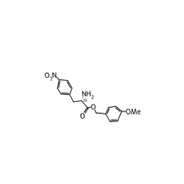 COc1ccc(COC(=O)[C@@H](N)Cc2ccc([N+](=O)[O-])cc2)cc1